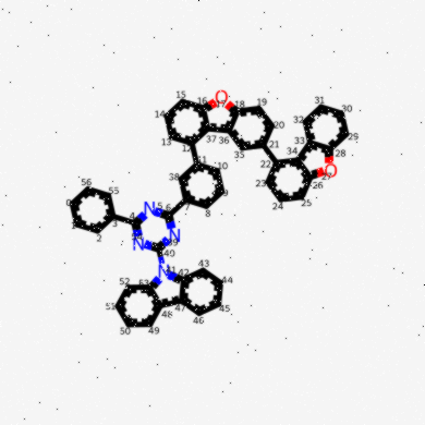 c1ccc(-c2nc(-c3cccc(-c4cccc5oc6ccc(-c7cccc8oc9ccccc9c78)cc6c45)c3)nc(-n3c4ccccc4c4ccccc43)n2)cc1